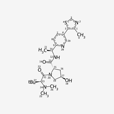 Cc1ncsc1-c1ccc([C@H](C)NC(=O)[C@@H]2C[C@@H](O)CN2C(=O)[C@@H](N(C)C)C(C)(C)C)nc1